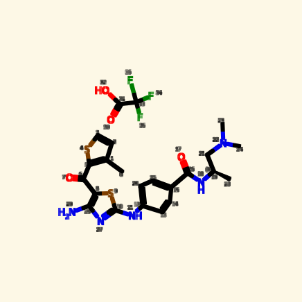 Cc1ccsc1C(=O)c1sc(Nc2ccc(C(=O)N[C@H](C)CN(C)C)cc2)nc1N.O=C(O)C(F)(F)F